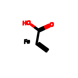 C=CC(=O)O.[Fe]